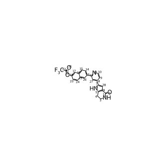 O=C1NCCc2[nH]c(-c3ccnc(-c4ccc5cc(OC(=O)C(F)(F)F)ccc5c4)c3)cc21